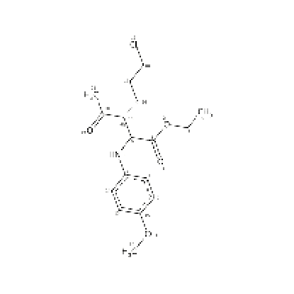 CCOC(=O)C(Nc1ccc(OC)cc1)[C@@H](CCCCl)C(C)=O